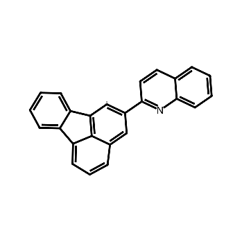 [c]1c(-c2ccc3ccccc3n2)cc2cccc3c2c1-c1ccccc1-3